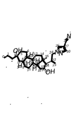 CCC[C@@]1(O)CC[C@H]2[C@H](CC[C@@H]3[C@@H]2CC[C@@]2(C)[C@H]3C[C@@H](O)[C@@H]2C(C)Cn2cc(C#N)cn2)C1